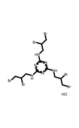 BrCC(Br)CNc1nc(NCC(Br)CBr)nc(NCC(Br)CBr)n1.Cl